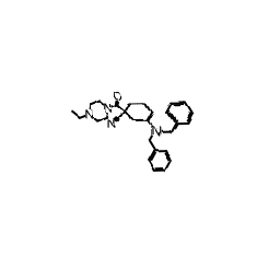 CCN1CCN(C(=O)C2(C#N)CCCC(N(Cc3ccccc3)Cc3ccccc3)C2)CC1